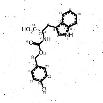 O=C(N[C@@H](Cc1c[nH]c2ccccc12)C(=O)O)OCc1ccc(Cl)cc1